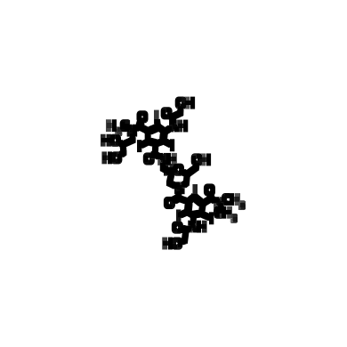 CN(C)C(=O)c1c(I)c(NC(=O)CO)c(I)c(C(=O)N(CCCNC(=O)c2c(I)c(NC(=O)CO)c(I)c(C(=O)N(C)CC(O)CO)c2I)CC(O)CO)c1I